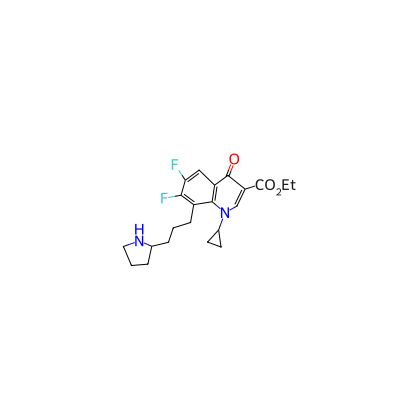 CCOC(=O)c1cn(C2CC2)c2c(CCCC3CCCN3)c(F)c(F)cc2c1=O